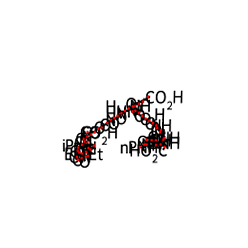 CCCNC(=O)Nc1cccc(S(=O)(=O)Nc2cccc(C(CC(=O)O)NC(=O)Nc3ccc(NC(=O)NCCOCCOCCOCCC(=O)NC(CCCCNC(=O)CCCC(=O)NCCOCCOCCOCCC(=O)NC(CC(=O)O)C(=O)N4CCCC4C(=O)NC(C(=O)OC4(CC)C(=O)OCc5c4cc4n(c5=O)CC5=C4N=C4C=CC=CC4C5CC)C(C)C)C(=O)NCCCCCCCC(=O)O)cc3)c2)c1